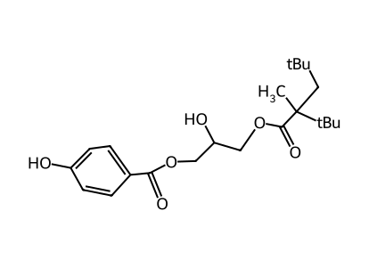 CC(C)(C)CC(C)(C(=O)OCC(O)COC(=O)c1ccc(O)cc1)C(C)(C)C